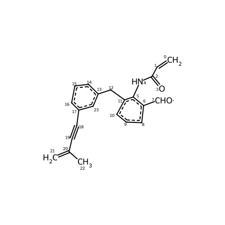 C=CC(=O)Nc1c([C]=O)cccc1Cc1cccc(C#CC(=C)C)c1